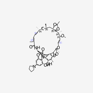 CO[C@H]1/C=C/O[C@@]2(C)Oc3c(C)c(O)c4c(=O)c(c5oc6cc(N7CCCC7)cc(O)c6nc-5c4c3C2=O)NC(=O)/C(C)=C\C=C\[C@H](C)C[C@@H](C)C[C@@H](C)[C@H](OC(C)=O)[C@@H]1C